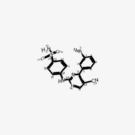 CNc1cccc(-c2nc(Nc3ccc(S(N)(=O)=O)cc3)ncc2C#N)c1